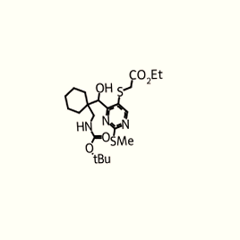 CCOC(=O)CSc1cnc(SC)nc1C(O)C1(CNC(=O)OC(C)(C)C)CCCCC1